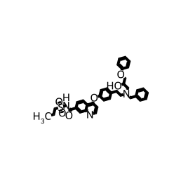 CCCS(=O)(=O)NC(=O)c1ccc2c(Oc3ccc(CCN(Cc4ccccc4)CC(O)COc4ccccc4)cc3)ccnc2c1